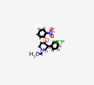 CCN1CCC(Oc2ccccc2[N+](=O)[O-])C(c2ccccc2)C1.Cl